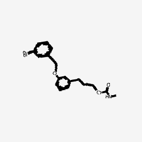 CNC(=O)OCCCc1cccc(OCc2cccc(Br)c2)c1